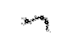 Nc1cc(N)cc(C(=O)OCCOC(=O)C=Cc2ccc(OC(F)(F)c3ccc(OCCCC(F)(F)F)cc3)cc2)c1